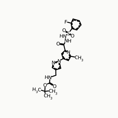 Cc1cc(-n2cc(CNC(=O)OC(C)(C)C)cn2)cc(C(=O)NNS(=O)(=O)c2ccccc2F)n1